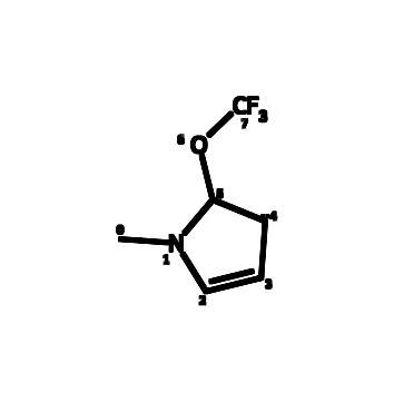 CN1C=C[C]C1OC(F)(F)F